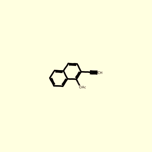 C#Cc1ccc2ccccc2c1OC(C)=O